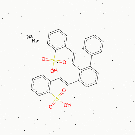 O=S(=O)(O)c1ccccc1C=Cc1cccc(-c2ccccc2)c1C=Cc1ccccc1S(=O)(=O)O.[Na].[Na]